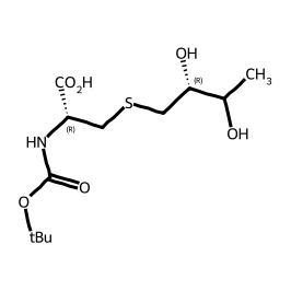 CC(O)[C@@H](O)CSC[C@H](NC(=O)OC(C)(C)C)C(=O)O